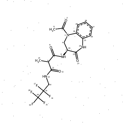 CC(=O)N1C[C@H](NC(=O)C(C)C(=O)NCC(F)(F)C(F)(F)F)C(=O)Nc2ccccc21